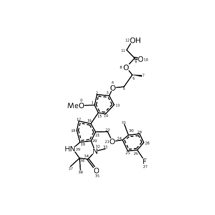 COc1cc(OC[C@H](C)OC(=O)CO)ccc1-c1ccc2c(c1COc1cc(F)ccc1C)N(C)C(=O)C(C)(C)N2